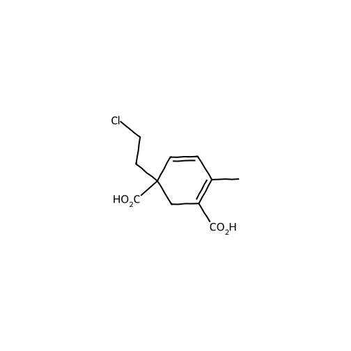 CC1=C(C(=O)O)CC(CCCl)(C(=O)O)C=C1